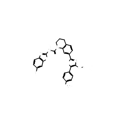 COc1ccc(-c2sc(-c3ccc4c(c3)N(C(=O)Nc3nc5ccc(F)cc5s3)CCC4)nc2OC(=O)O)cc1